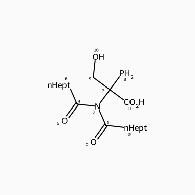 CCCCCCCC(=O)N(C(=O)CCCCCCC)C(P)(CO)C(=O)O